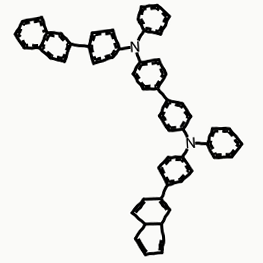 C1=CC2C=CC(c3ccc(N(c4ccccc4)c4ccc(-c5ccc(N(c6ccccc6)c6ccc(-c7ccc8ccccc8c7)cc6)cc5)cc4)cc3)=CC2C=C1